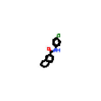 O=C(Nc1ccc(Cl)cc1)c1ccc2c(c1)CCCC2